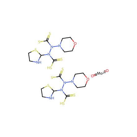 S=C(S)N(C1NCCS1)N(C(=S)[S-])N1CCOCC1.S=C(S)N(C1NCCS1)N(C(=S)[S-])N1CCOCC1.[O]=[Mo+2]=[O]